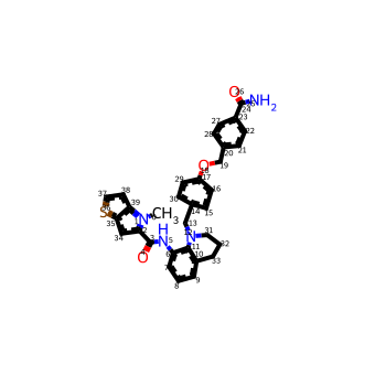 Cn1c(C(=O)Nc2cccc3c2N(Cc2ccc(OCc4ccc(C(N)=O)cc4)cc2)CCC3)cc2sccc21